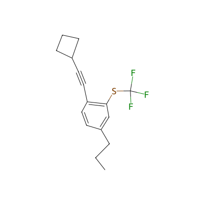 CCCc1ccc(C#CC2CCC2)c(SC(F)(F)F)c1